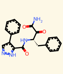 NC(=O)C(=O)[C@H](Cc1ccccc1)NC(=O)c1[nH]ncc1-c1ccccc1